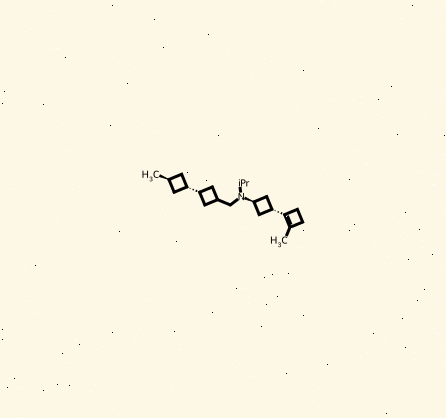 CC1=C([C@H]2C[C@H](N(CC3CC([C@H]4C[C@H](C)C4)C3)C(C)C)C2)CC1